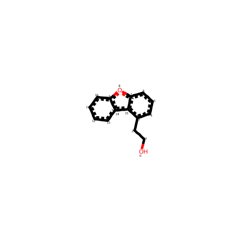 OCCc1cccc2oc3ccccc3c12